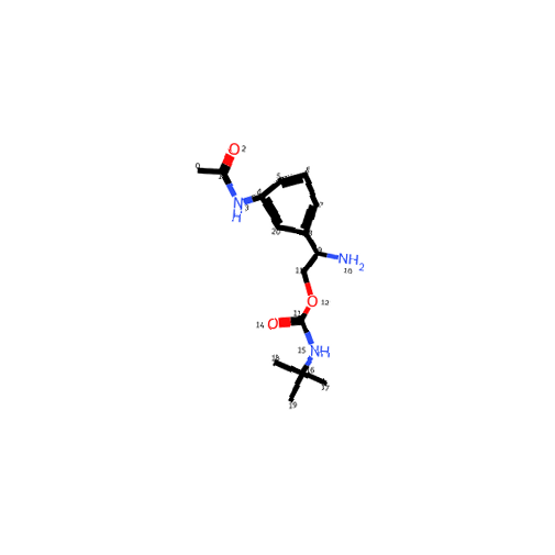 CC(=O)Nc1cccc(C(N)COC(=O)NC(C)(C)C)c1